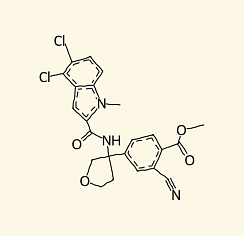 COC(=O)c1ccc(C2(NC(=O)c3cc4c(Cl)c(Cl)ccc4n3C)CCOC2)cc1C#N